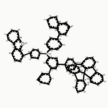 c1ccc(-c2cc(-c3ccc(-c4cccc5c4C4(c6ccccc6-c6ccccc64)c4ccccc4-5)cc3)cc(N(c3ccc(-c4cccc5ccccc45)cc3)c3ccc(-c4cccc5c4oc4ccccc45)cc3)c2)cc1